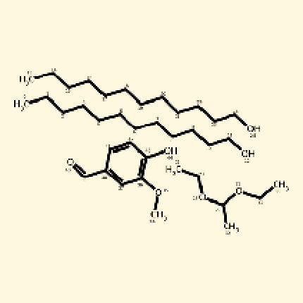 CCCCCCCCCCCCO.CCCCCCCCCCCCO.CCOC(C)OCC.COc1cc(C=O)ccc1O